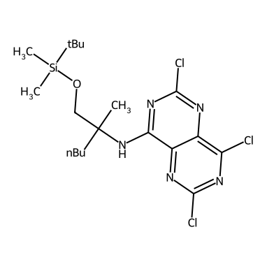 CCCCC(C)(CO[Si](C)(C)C(C)(C)C)Nc1nc(Cl)nc2c(Cl)nc(Cl)nc12